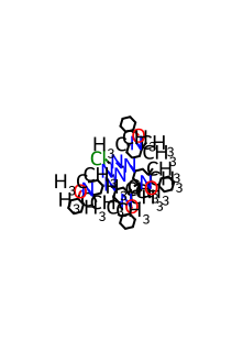 CC1(C)CC(N(c2nc(Cl)nc(N(C3CC(C)(C)N(OC4CCCCC4)C(C)(C)C3)C3CC(C)(C)N(OC4CCCCC4)C(C)(C)C3)n2)C2CC(C)(C)N(OC3CCCCC3)C(C)(C)C2)CC(C)(C)N1OC1CCCCC1